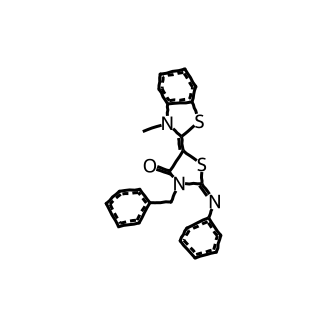 CN1C(=C2SC(=Nc3ccccc3)N(Cc3ccccc3)C2=O)Sc2ccccc21